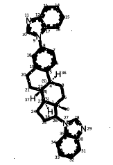 C[C@]12CC[C@@H]3c4ccc(-n5cnc6ccccc65)cc4CC[C@H]3[C@@H]1CCC2n1cnc2ccccc21